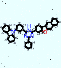 c1ccc(C2=NC(c3ccc4c(c3)oc3cc5ccccc5cc34)NC(c3cccc(-n4c5ccccc5c5ccccc54)c3)=N2)cc1